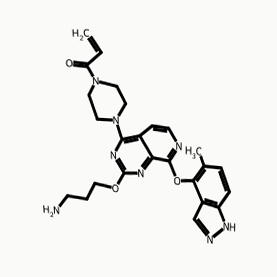 C=CC(=O)N1CCN(c2nc(OCCCN)nc3c(Oc4c(C)ccc5[nH]ncc45)nccc23)CC1